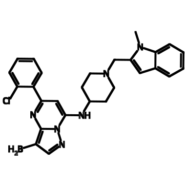 Bc1cnn2c(NC3CCN(Cc4cc5ccccc5n4C)CC3)cc(-c3ccccc3Cl)nc12